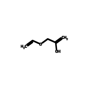 C=COCC(=C)O